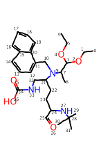 CCOC(OCC)C(C)N(Cc1cccc2ccccc12)C(CCC(C=O)NC(C)(C)C)CNC(=O)O